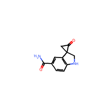 NC(=O)c1ccc2c(c1)C1(CN2)CC1=O